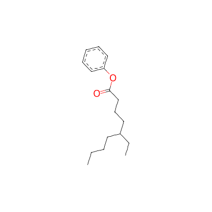 CCCCC(CC)CCCC(=O)Oc1ccccc1